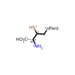 CCCCCCC(S)[C@H](N)C(=O)O